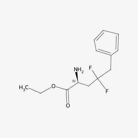 CCOC(=O)[C@@H](N)CC(F)(F)Cc1ccccc1